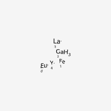 [Eu].[Fe].[GaH3].[La].[Y]